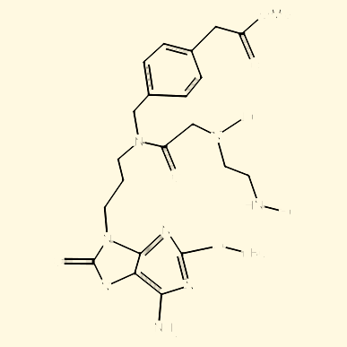 CCCCOc1nc(N)c2[nH]c(=O)n(CCCN(Cc3ccc(CC(=O)OC)cc3)C(=O)CN(CC)CCNCC)c2n1